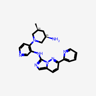 C[C@H]1C[C@@H](N)CN(c2ccncc2Nc2ncc3ccc(-c4ccccn4)nn23)C1